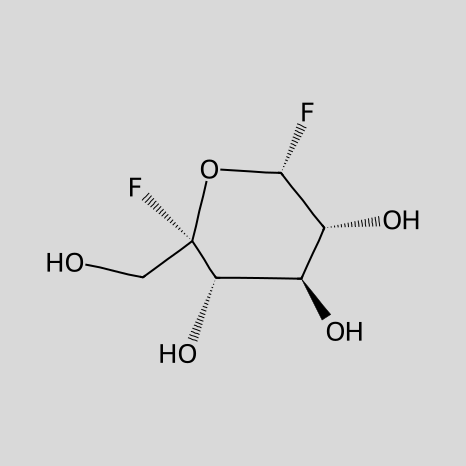 OC[C@@]1(F)O[C@H](F)[C@H](O)[C@@H](O)[C@@H]1O